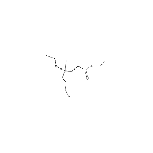 CCCCC(C)(CCC(=O)OCC)OCC